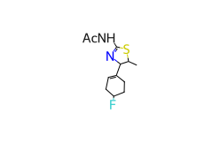 CC(=O)NC1=NC(C2=CCC(F)CC2)C(C)S1